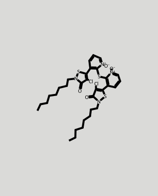 CCCCCCCCn1sc(-c2ccc[n+]([O-])c2Sc2c(-c3sn(CCCCCCCC)c(=O)c3Cl)ccc[n+]2[O-])c(Cl)c1=O